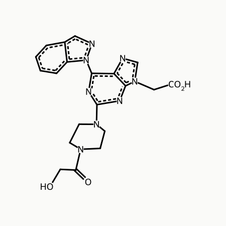 O=C(O)Cn1cnc2c(-n3ncc4ccccc43)nc(N3CCN(C(=O)CO)CC3)nc21